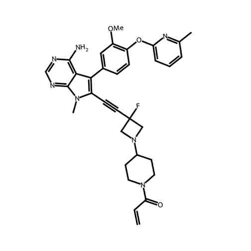 C=CC(=O)N1CCC(N2CC(F)(C#Cc3c(-c4ccc(Oc5cccc(C)n5)c(OC)c4)c4c(N)ncnc4n3C)C2)CC1